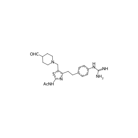 CC(=O)Nc1nc(CCc2ccc(NC(=N)N)cc2)c(CN2CCC(C=O)CC2)s1